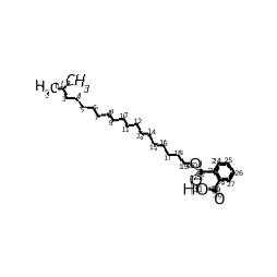 CC(C)CCCCCCCCCCCCCCCCCOC(=O)c1ccccc1C(=O)O